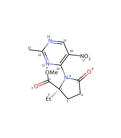 CC[C@@]1(C(=O)OC)CCC(=O)N1c1nc(C)ncc1[N+](=O)[O-]